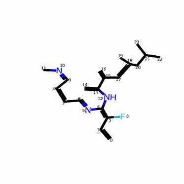 C=C\C(F)=C(/N=C/C=C\C=N/C)NC(=C)C(=C)/C=C(\C)CC(C)C